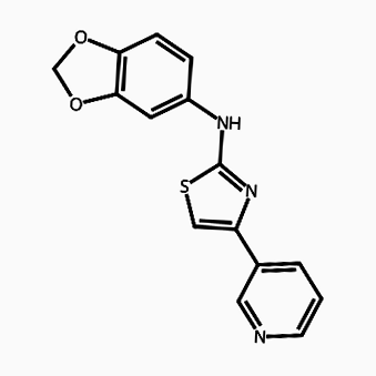 c1cncc(-c2csc(Nc3ccc4c(c3)OCO4)n2)c1